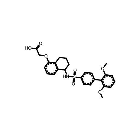 COc1cccc(OC)c1-c1ccc(S(=O)(=O)NC2CCCc3c(OCC(=O)O)cccc32)cc1